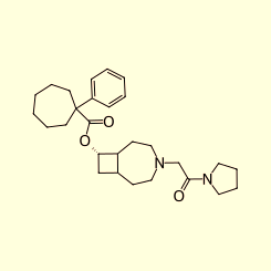 O=C(CN1CCC2C[C@H](OC(=O)C3(c4ccccc4)CCCCCC3)C2CC1)N1CCCC1